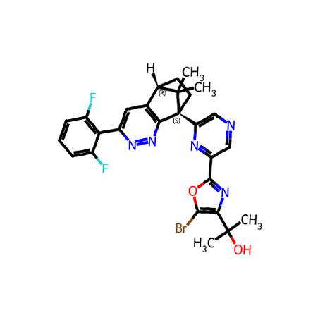 CC(C)(O)c1nc(-c2cncc([C@@]34CC[C@@H](c5cc(-c6c(F)cccc6F)nnc53)C4(C)C)n2)oc1Br